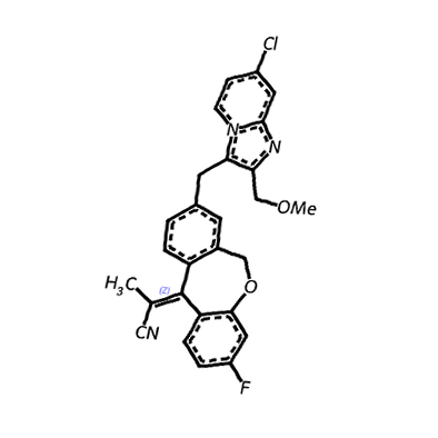 COCc1nc2cc(Cl)ccn2c1Cc1ccc2c(c1)COc1cc(F)ccc1/C2=C(/C)C#N